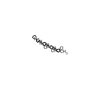 Cc1ccc(N=Nc2ccc(N=Nc3ccc(N=Nc4ccc(N5CCCCC5)s4)cc3Cl)cc2Cl)cc1Cl